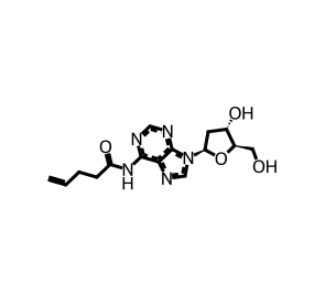 C=CCCC(=O)Nc1ncnc2c1ncn2[C@H]1C[C@H](O)[C@@H](CO)O1